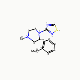 CCN1CCN(c2ncsn2)CC1.COc1ccccc1